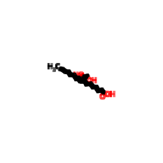 CCCCCCCC/C=C/CCCCCCCC(=O)O.OCCO